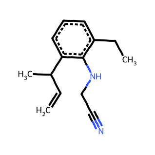 C=CC(C)c1cccc(CC)c1NCC#N